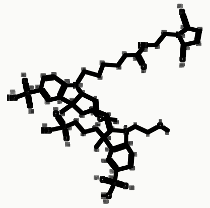 COCCN1/C(=C/C=C/C2N(CCCCCC(=O)NCCN3C(=O)C=CC3=O)c3ccc(S(=O)(=O)O)cc3C2(C)CCOC)C(C)(CCCS(=O)(=O)O)c2cc(S(=O)(=O)O)ccc21